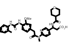 COc1cc(CC(=O)N(C)c2ccc(C(CC(=O)O)NC(=O)C3CCOCC3)cn2)ccc1NC(=O)Nc1ccccc1C